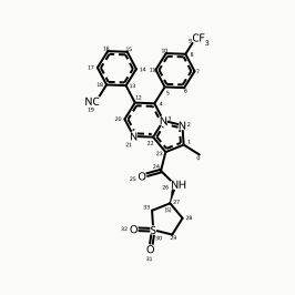 Cc1nn2c(-c3ccc(C(F)(F)F)cc3)c(-c3ccccc3C#N)cnc2c1C(=O)N[C@H]1CCS(=O)(=O)C1